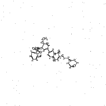 COc1ncc(-c2ccc3ncc(OCCN4CCOCC4)c(=O)n3c2)cc1NS(=O)(=O)c1ccccc1F